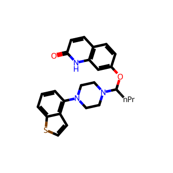 CCCC(Oc1ccc2ccc(=O)[nH]c2c1)N1CCN(c2cccc3sccc23)CC1